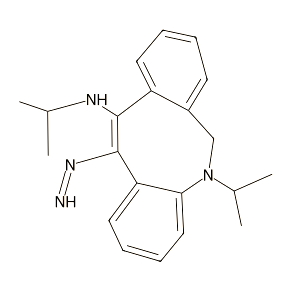 CC(C)N/C1=C(\N=N)c2ccccc2N(C(C)C)Cc2ccccc21